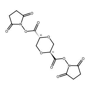 O=C(ON1C(=O)CCC1=O)[C@@H]1CO[C@@H](C(=O)ON2C(=O)CCC2=O)CO1